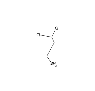 BCCC(Cl)Cl